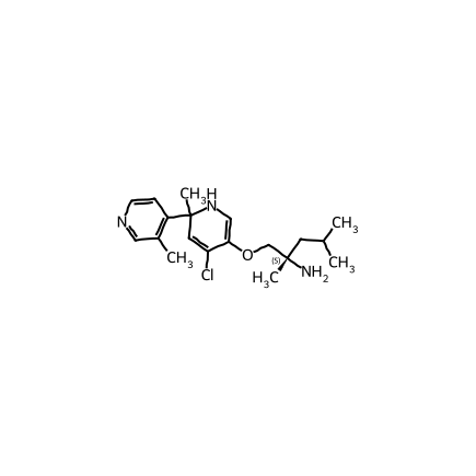 Cc1cnccc1C1(C)C=C(Cl)C(OC[C@@](C)(N)CC(C)C)=CN1